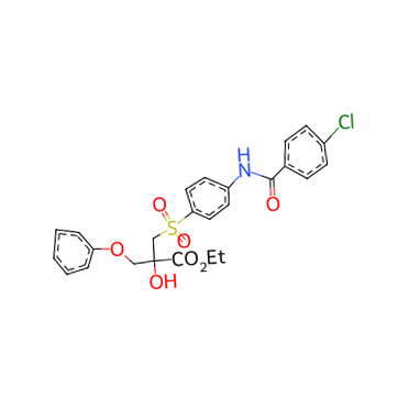 CCOC(=O)C(O)(COc1ccccc1)CS(=O)(=O)c1ccc(NC(=O)c2ccc(Cl)cc2)cc1